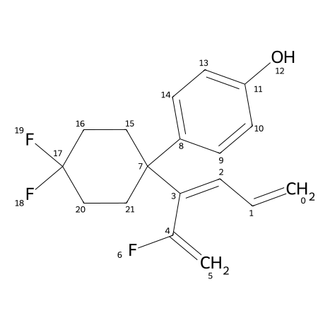 C=C/C=C(\C(=C)F)C1(c2ccc(O)cc2)CCC(F)(F)CC1